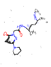 C=N/C(=C\C=C(/C)NC(=O)Cn1nc(N2CCCCC2)ccc1=O)C(F)(F)F